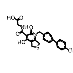 O=C(O)CNC(=O)c1c(O)c2c(n(Cc3ccc(-c4ccc(Cl)cc4)cc3)c1=O)CSC2